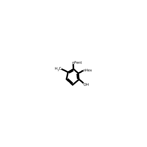 CCCCCCc1c(O)ccc(C)c1CCCCC